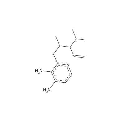 C=CC(C(C)C)C(C)Cc1nccc(N)c1N